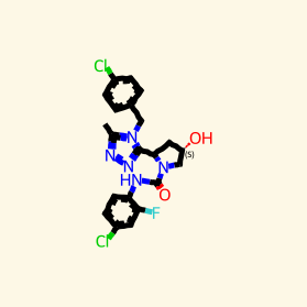 Cc1nnc(C2C[C@H](O)CN2C(=O)Nc2ccc(Cl)cc2F)n1Cc1ccc(Cl)cc1